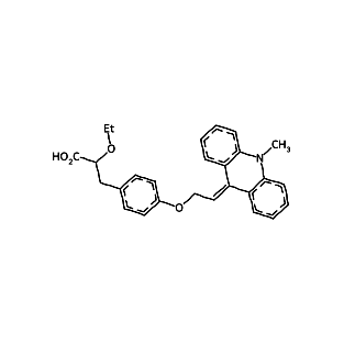 CCOC(Cc1ccc(OCC=C2c3ccccc3N(C)c3ccccc32)cc1)C(=O)O